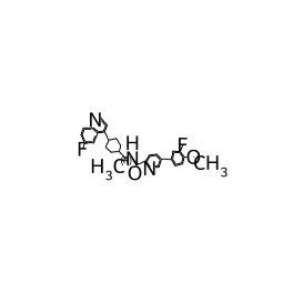 COc1ccc(-c2ccc(C(=O)N[C@H](C)C3CCC(c4ccnc5ccc(F)cc45)CC3)nc2)cc1F